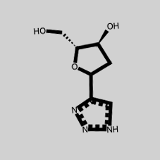 OC[C@H]1OC(c2c[nH]nn2)C[C@@H]1O